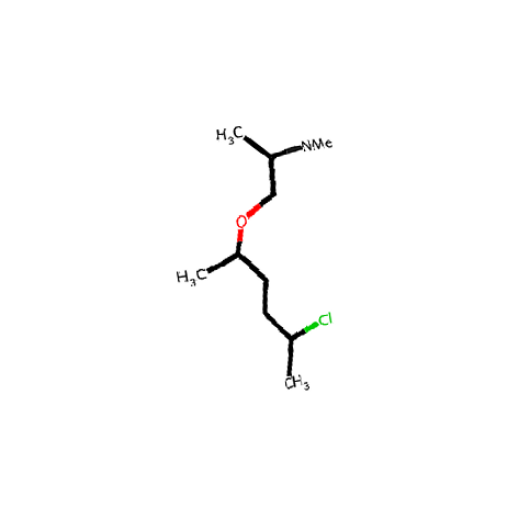 CNC(C)COC(C)CCC(C)Cl